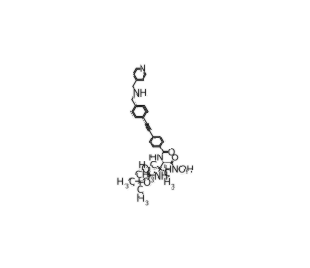 CC(C)(C)OC(=O)NC(C)(C)[C@H](NC(=O)c1ccc(C#Cc2ccc(CNCc3ccncc3)cc2)cc1)C(=O)NO